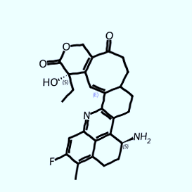 CC[C@@]1(O)C(=O)OCC2=C1/C=C1/c3nc4cc(F)c(C)c5c4c(c3CCC1CCC2=O)[C@@H](N)CC5